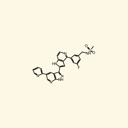 CS(=O)(=O)NCc1cc(F)cc(-c2nccc3[nH]c(-c4n[nH]c5ncc(-c6ccccn6)cc45)cc23)c1